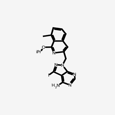 Cc1cccc2cc(Cn3nc(I)c4c(N)ncnc43)nc(OC(C)C)c12